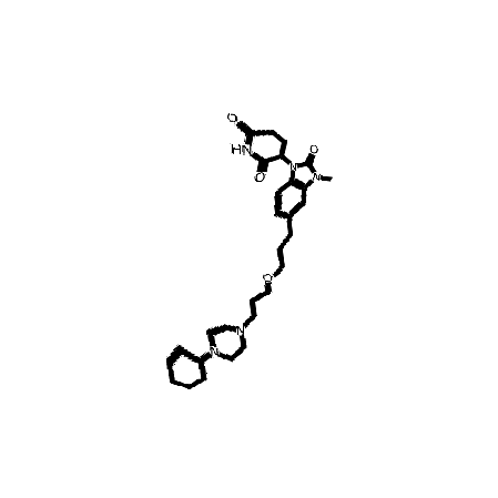 Cn1c(=O)n(C2CCC(=O)NC2=O)c2ccc(CCCOCCCN3CCN(C4CCCCC4)CC3)cc21